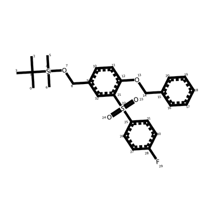 CC(C)(C)[Si](C)(C)OCc1ccc(OCc2ccccc2)c(S(=O)(=O)c2ccc(F)cc2)c1